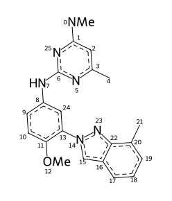 CNc1cc(C)nc(Nc2ccc(OC)c(-n3cc4cccc(C)c4n3)c2)n1